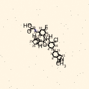 [2H]C(c1ccc(-c2ccc3c(cnn3C)c2)cc1Cl)N(C(=O)[C@@H]1C[C@@H]2CC[C@H]1C2)c1cc(F)cc(/C=C/C(=O)O)c1